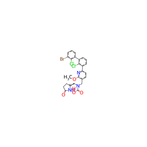 COc1nc(-c2cccc(-c3cccc(Br)c3Cl)c2Cl)ccc1CN(C[C@@H]1CCC(=O)N1)C(=O)O